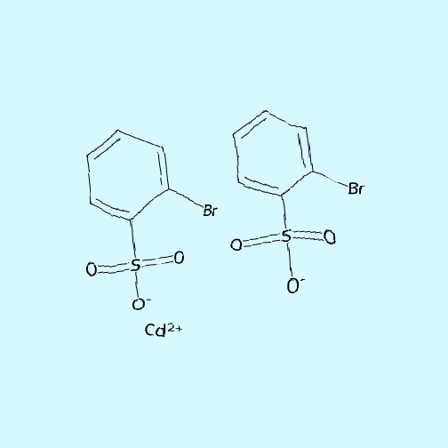 O=S(=O)([O-])c1ccccc1Br.O=S(=O)([O-])c1ccccc1Br.[Cd+2]